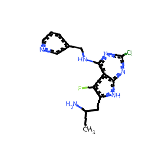 CC(N)Cc1[nH]c2nc(Cl)nc(NCc3cccnc3)c2c1F